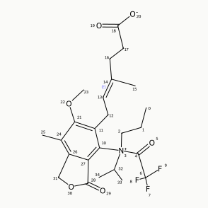 CCC[N+](C(=O)C(F)(F)F)(c1c(C/C=C(\C)CCC(=O)[O-])c(OC)c(C)c2c1C(=O)OC2)C(C)C